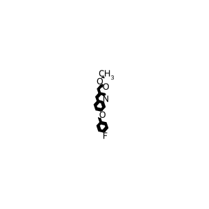 CCOC(=O)Cc1cnc2cc(OCc3ccc(F)cc3)ccc2c1